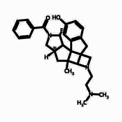 CCC1C2[C@@H](CN1C(=O)c1ccccc1)CC1(C)C3N(CCN(C)C)CC34Cc3ccc(O)cc3C214